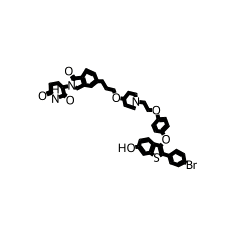 O=C1CCC(N2Cc3cc(CCCOC4CCN(CCOc5ccc(Oc6c(-c7ccc(Br)cc7)sc7cc(O)ccc67)cc5)CC4)ccc3C2=O)C(=O)N1